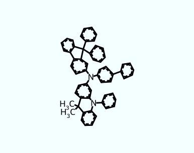 CC1(C)c2ccccc2N(c2ccccc2)c2cc(N(c3ccc(-c4ccccc4)cc3)c3ccc4c(c3)C(c3ccccc3)(c3ccccc3)c3ccccc3-4)ccc21